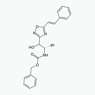 CC(C)[C@H](NC(=O)OCc1ccccc1)C(O)c1noc(C=Cc2ccccc2)n1